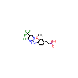 COc1cc(CC[PH](=O)O)ccc1Nc1ncc(C(F)(F)F)c(Cl)n1